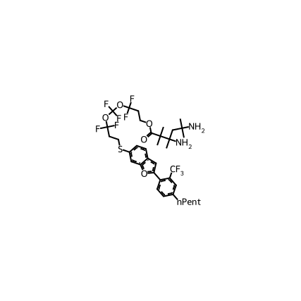 CCCCCc1ccc(-c2cc3ccc(SCCC(F)(F)OC(F)(F)OC(F)(F)CCOC(=O)C(C)(C)C(C)(N)CC(C)(C)N)cc3o2)c(C(F)(F)F)c1